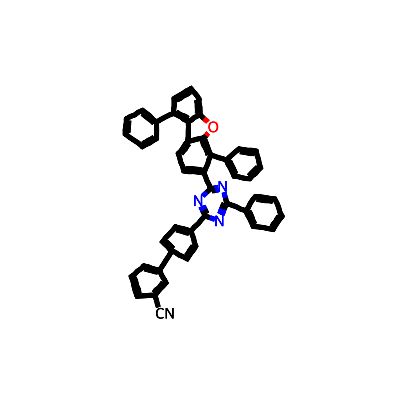 N#Cc1cccc(-c2ccc(-c3nc(-c4ccccc4)nc(-c4ccc5c(oc6cccc(-c7ccccc7)c65)c4-c4ccccc4)n3)cc2)c1